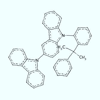 CC(C)(c1ccccc1)c1ccccc1-n1c2ccccc2c2cc(-n3c4ccccc4c4ccccc43)ccc21